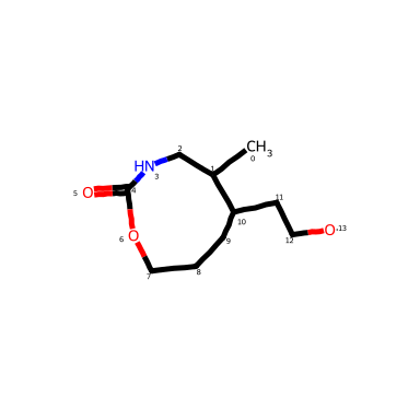 CC1CNC(=O)OCCCC1CC[O]